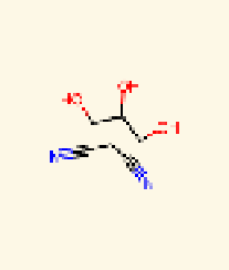 N#CCC#N.OCC(O)CO